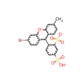 Cc1ccc2c(-c3ccc(S(=O)(=O)O)cc3S(=O)(=O)[O-])c3ccc(Br)cc3[o+]c2c1